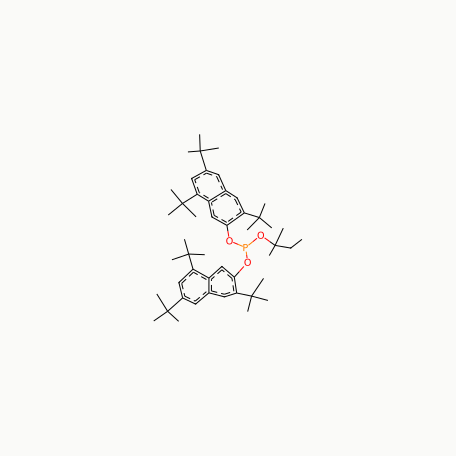 CCC(C)(C)OP(Oc1cc2c(C(C)(C)C)cc(C(C)(C)C)cc2cc1C(C)(C)C)Oc1cc2c(C(C)(C)C)cc(C(C)(C)C)cc2cc1C(C)(C)C